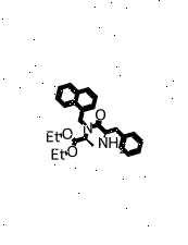 CCOC(OCC)[C@H](C)N(Cc1cccc2ccccc12)C(=O)[C@@H](N)Cc1ccccc1